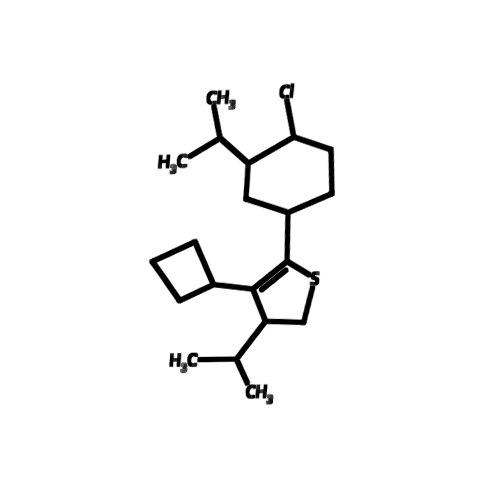 CC(C)C1CSC(C2CCC(Cl)C(C(C)C)C2)=C1C1CCC1